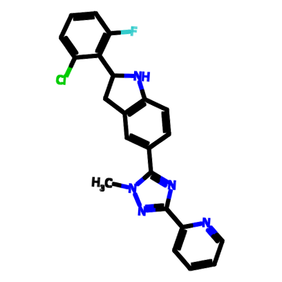 Cn1nc(-c2ccccn2)nc1-c1ccc2c(c1)CC(c1c(F)cccc1Cl)N2